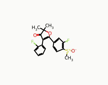 C[S+]([O-])c1ccc(C2=C(c3ccccc3F)C(=O)C(C)(C)O2)cc1F